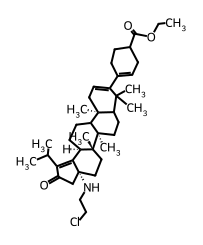 CCOC(=O)C1CC=C(C2=CC[C@@]3(C)C(CC[C@]4(C)C3CC[C@@H]3C5=C(C(C)C)C(=O)C[C@]5(NCCCl)CC[C@]34C)C2(C)C)CC1